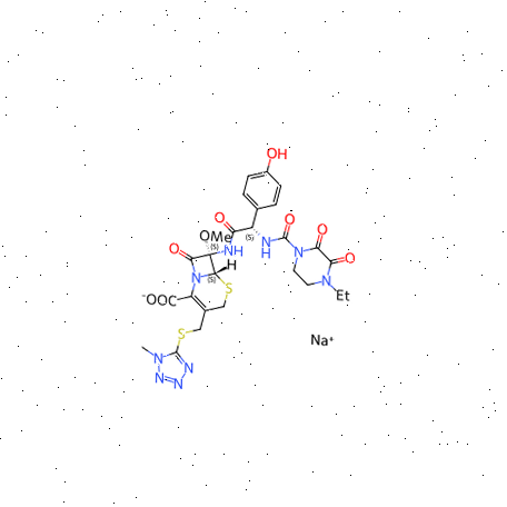 CCN1CCN(C(=O)N[C@H](C(=O)N[C@]2(OC)C(=O)N3C(C(=O)[O-])=C(CSc4nnnn4C)CS[C@H]32)c2ccc(O)cc2)C(=O)C1=O.[Na+]